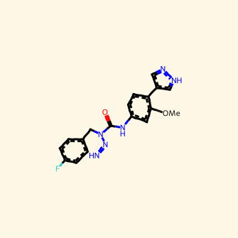 COc1cc(NC(=O)N(Cc2ccc(F)cc2)N=N)ccc1-c1cn[nH]c1